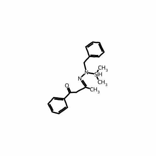 CC(CC(=O)c1ccccc1)=NN(Cc1ccccc1)[SiH](C)C